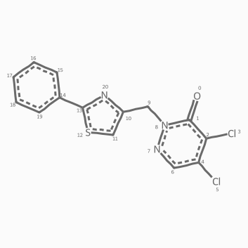 O=c1c(Cl)c(Cl)cnn1Cc1csc(-c2ccccc2)n1